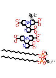 CCCCCCCCCCCCCCCCOP1OCCO1.CCCCCCCCCCCCCCCCOP1OCCO1.O=C([O-])c1ccnc(-c2nccc(C(=O)[O-])c2-c2cc(C(=O)[O-])ccn2)c1.O=C([O-])c1ccnc(-c2nccc(C(=O)[O-])c2-c2cc(C(=O)[O-])ccn2)c1.[Ru+2].[Ru+2].[Ru+2]